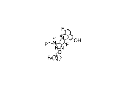 C#Cc1c(F)ccc2cc(O)cc(-c3ncc4c(N(CCF)C5CC5)nc(OC[C@@]56CCCN5C[C@H](F)C6)nc4c3F)c12